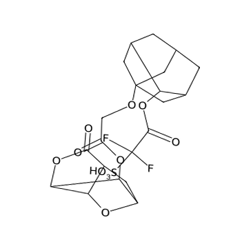 O=C(COC12CC3CC(C1)C(OC(=O)C(F)(F)S(=O)(=O)O)C(C3)C2)OC1C2CC3C(=O)OC1C3O2